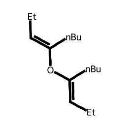 CC/C=C(\CCCC)O/C(=C/CC)CCCC